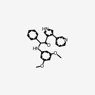 COc1cc(NC(C(=O)c2c[nH]cc2-c2cccnc2)c2ccccc2)cc(OC)c1